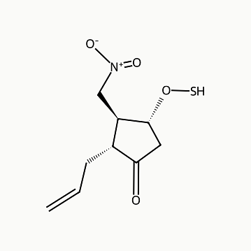 C=CC[C@H]1C(=O)C[C@@H](OS)[C@@H]1C[N+](=O)[O-]